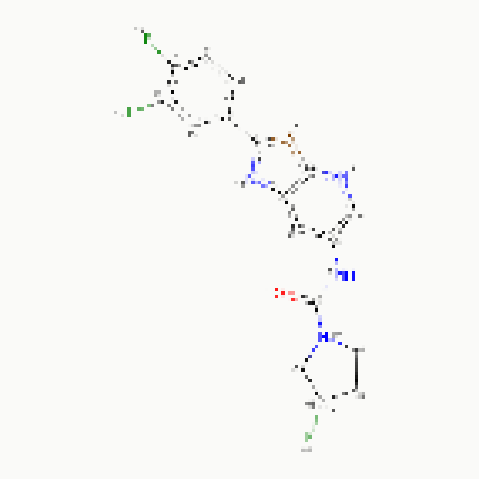 O=C(Nc1cnc2sc(-c3ccc(F)c(F)c3)nc2c1)N1CC[C@H](F)C1